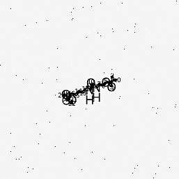 C=C(C)C(=O)OCCNC(=O)NCCCCCP(=O)(OC)OC